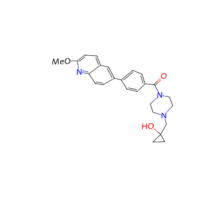 COc1ccc2cc(-c3ccc(C(=O)N4CCN(CC5(O)CC5)CC4)cc3)ccc2n1